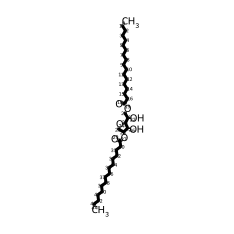 CCCCCCCCCCCCCCCCCC(=O)OC[C@@H](O)[C@H]1OC[C@H](OC(=O)CCCCCCCCCCCCCCC)[C@H]1O